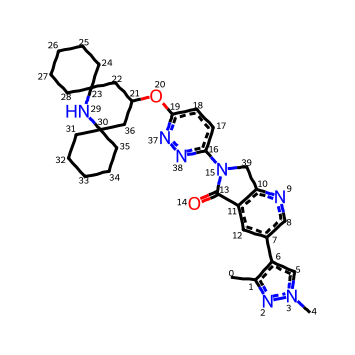 Cc1nn(C)cc1-c1cnc2c(c1)C(=O)N(c1ccc(OC3CC4(CCCCC4)NC4(CCCCC4)C3)nn1)C2